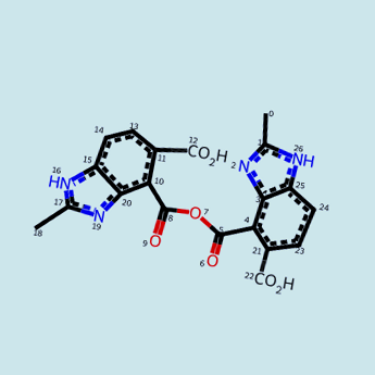 Cc1nc2c(C(=O)OC(=O)c3c(C(=O)O)ccc4[nH]c(C)nc34)c(C(=O)O)ccc2[nH]1